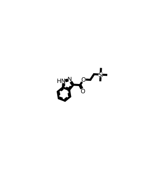 C[Si](C)(C)CCOC(=O)c1n[nH]c2ccccc12